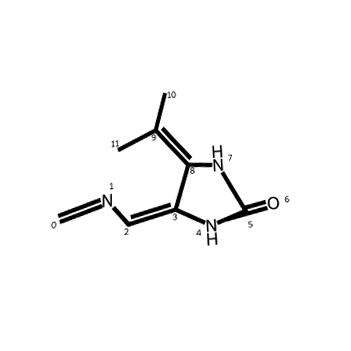 C=N/C=c1/[nH]c(=O)[nH]c1=C(C)C